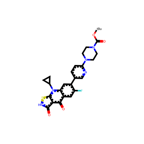 CC(C)(C)OC(=O)N1CCN(c2ccc(-c3cc4c(cc3F)c(=O)c3c(=O)[nH]sc3n4C3CC3)cn2)CC1